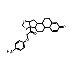 Nc1ccc(OCC(=O)C23OCOC2CC2C4CCC5=CC(=O)C=CC5C4CCC23)cc1